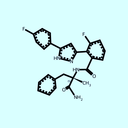 C[C@@](Cc1ccccc1)(NC(=O)c1cccc(F)c1-c1cc(-c2ccc(F)cc2)[nH]n1)C(N)=O